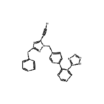 CCC#Cc1nc(Cc2ccccc2)nn1Cc1ccc(-c2ccccc2-c2nnn[nH]2)cc1